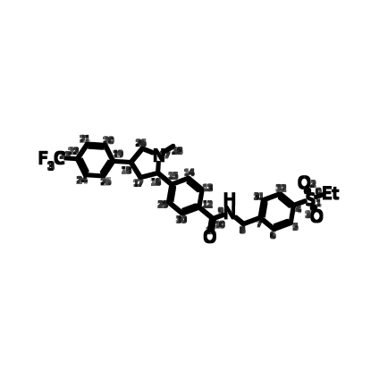 CCS(=O)(=O)c1ccc(CNC(=O)c2ccc(C3CC(c4ccc(C(F)(F)F)cc4)CN3C)cc2)cc1